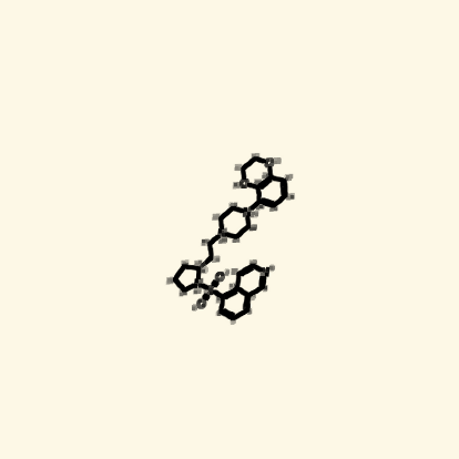 O=S(=O)(c1cccc2cnccc12)N1CCC[C@H]1CCN1CCN(c2cccc3c2OCCO3)CC1